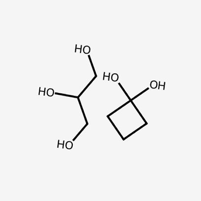 OC1(O)CCC1.OCC(O)CO